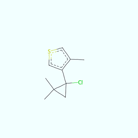 Cc1cscc1C1(Cl)CC1(C)C